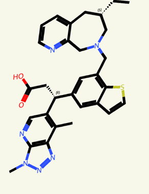 CC[C@H]1Cc2cccnc2CN(Cc2cc([C@@H](CC(=O)O)c3cnc4c(nnn4C)c3C)cc3ccsc23)C1